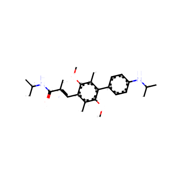 COc1c(C)c(-c2ccc(NC(C)C)cc2)c(OC)c(C)c1/C=C(\C)C(=O)NC(C)C